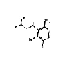 CC(O)CNc1c(N)ccc(F)c1Br